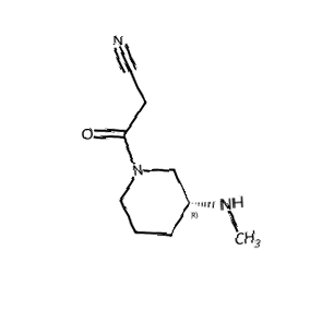 CN[C@@H]1CCCN(C(=O)CC#N)C1